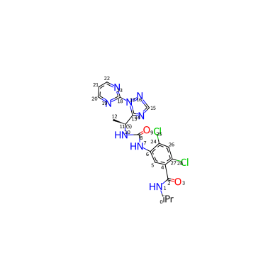 CC(C)NC(=O)c1cc(NC(=O)N[C@@H](C)c2ncnn2-c2ncccn2)c(Cl)cc1Cl